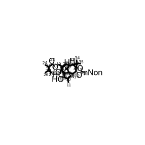 CCCCCCCCCC(=O)O[C@@]12C[C@@H](C)[C@]34C=C(C)[C@H](O)[C@@]3(O)[C@H](O)C(COC(=O)C(C)=C(C)C)=C[C@H](C4=O)[C@@H]1C2(C)C